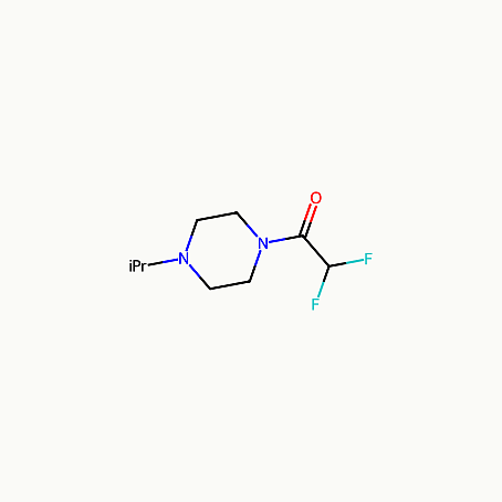 CC(C)N1CCN(C(=O)C(F)F)CC1